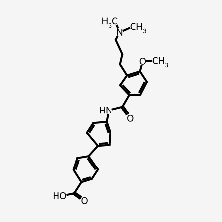 COc1ccc(C(=O)Nc2ccc(-c3ccc(C(=O)O)cc3)cc2)cc1CCCN(C)C